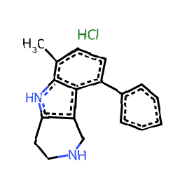 Cc1ccc(-c2ccccc2)c2c3c([nH]c12)CCNC3.Cl